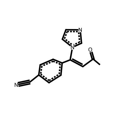 CC(=O)C=C(c1ccc(C#N)cc1)n1ccnc1